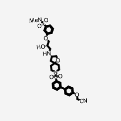 CNS(=O)(=O)c1cccc(OC[C@@H](O)CN[C@@H]2COC3(CCN(S(=O)(=O)c4cccc(-c5ccc(OCC#N)cc5)c4)CC3)C2)c1